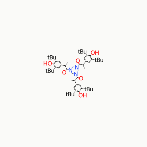 CC(C(=O)N1CN(C(=O)C(C)c2cc(C(C)(C)C)c(O)c(C(C)(C)C)c2)CN(C(=O)C(C)c2cc(C(C)(C)C)c(O)c(C(C)(C)C)c2)C1)c1cc(C(C)(C)C)c(O)c(C(C)(C)C)c1